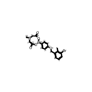 Cc1c(Br)cccc1COc1ccc(B2OC(=O)CN(C)CC(=O)O2)cc1